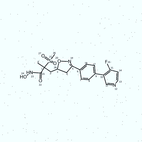 CC(CC1CC(c2ccc(-c3cnccc3F)cc2)=NO1)(C(=O)NO)S(C)(=O)=O